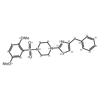 COc1ccc(OC)c(S(=O)(=O)N2CCN(c3nc(Cc4ccccc4)cs3)CC2)c1